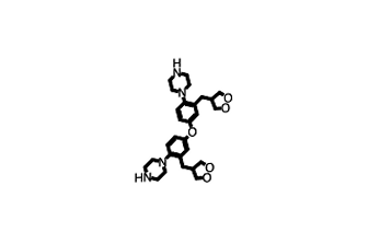 c1cc(N2CCNCC2)c(CC2COOC2)cc1Oc1ccc(N2CCNCC2)c(CC2COOC2)c1